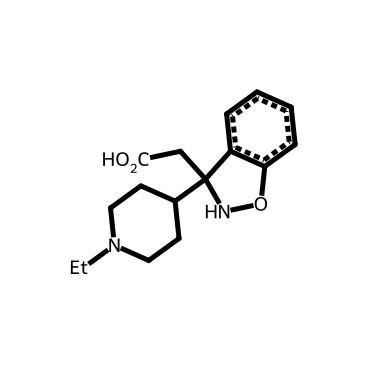 CCN1CCC(C2(CC(=O)O)NOc3ccccc32)CC1